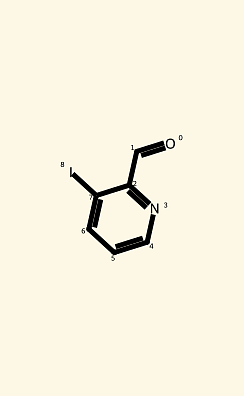 O=Cc1ncccc1I